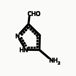 Nc1cc(C=O)n[nH]1